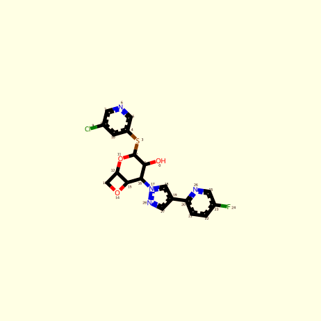 OC1C(Sc2cncc(Cl)c2)OC2COC2C1n1cc(-c2ccc(F)cn2)cn1